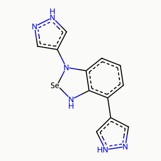 c1cc(-c2cn[nH]c2)c2c(c1)N(c1cn[nH]c1)[Se]N2